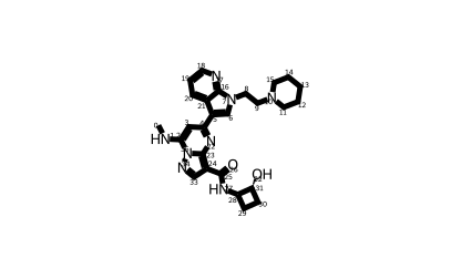 CNc1cc(-c2cn(CCN3CCCCC3)c3ncccc23)nc2c(C(=O)NC3CC[C@H]3O)cnn12